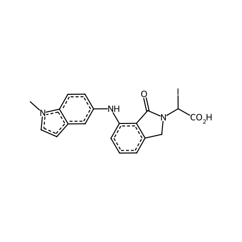 Cn1ccc2cc(Nc3cccc4c3C(=O)N(C(I)C(=O)O)C4)ccc21